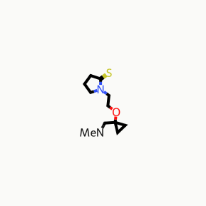 CNCC1(OCCN2CCCC2=S)CC1